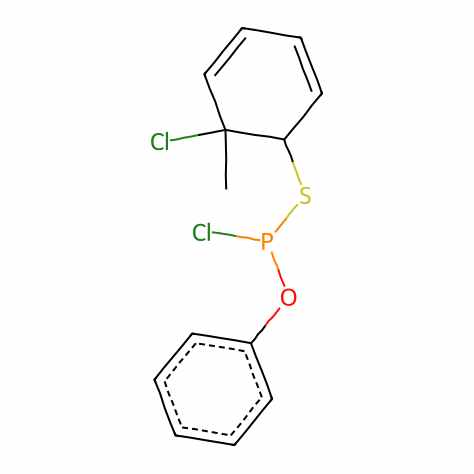 CC1(Cl)C=CC=CC1SP(Cl)Oc1ccccc1